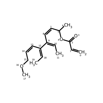 C=CC(=O)OC(C)/C=C\C(=CC)C(/C=C\COC)=C/C